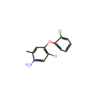 Cc1cc(Oc2ccccc2Cl)c(Cl)cc1N